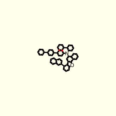 c1ccc(-c2ccc(-c3ccc(N(c4ccccc4-c4ccccc4)c4cc5c(oc6cccc(-c7ccc8ccccc8c7)c65)c5ccccc45)cc3)cc2)cc1